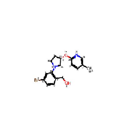 OCc1ccc(Br)cc1N1CC[C@H](Oc2ccc(C(F)(F)F)cn2)C1